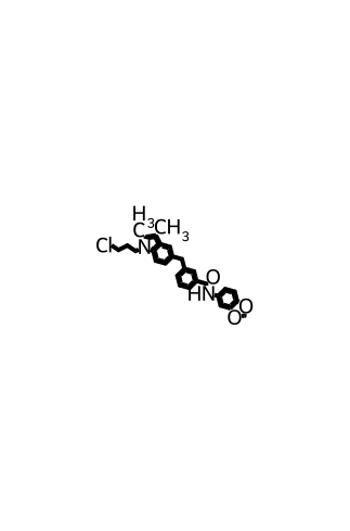 Cc1c(C)n(CCCCl)c2ccc(Cc3cccc(C(=O)Nc4ccc5c(c4)OCO5)c3)cc12